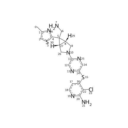 Cc1csc(C2(CN)[C@@H]3CN(c4cnc(Sc5ccnc(N)c5Cl)cn4)C[C@@H]32)n1